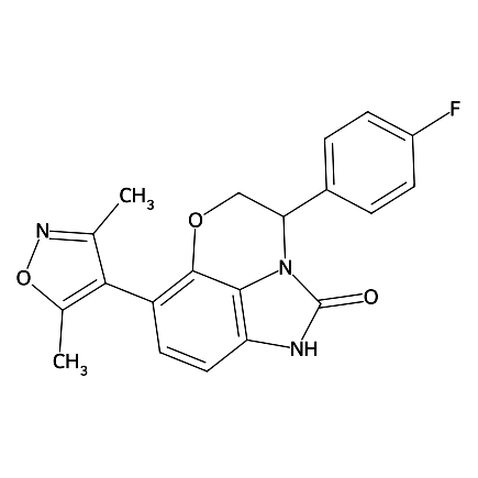 Cc1noc(C)c1-c1ccc2[nH]c(=O)n3c2c1OCC3c1ccc(F)cc1